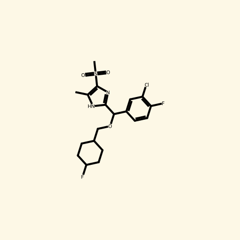 Cc1[nH]c(C(OCC2CCC(F)CC2)c2ccc(F)c(Cl)c2)nc1S(C)(=O)=O